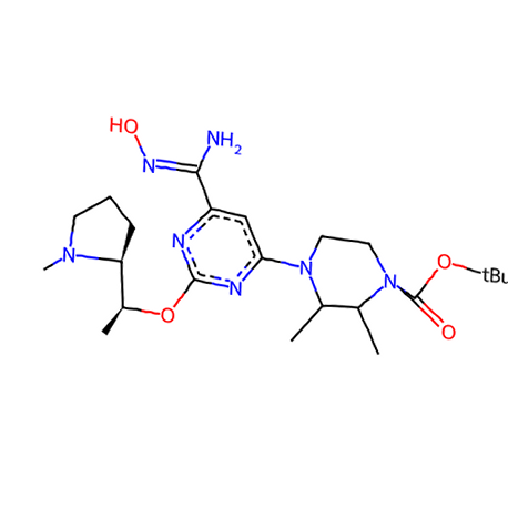 CC1C(C)N(c2cc(/C(N)=N/O)nc(O[C@@H](C)[C@@H]3CCCN3C)n2)CCN1C(=O)OC(C)(C)C